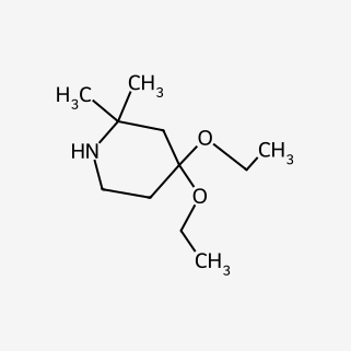 CCOC1(OCC)CCNC(C)(C)C1